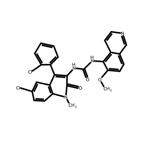 COc1ccc2cnccc2c1NC(=O)Nc1c(-c2ccccc2Cl)c2cc(Cl)ccc2n(C)c1=O